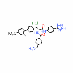 Cc1cc(C(=O)O)ccc1-c1ccc(C[C@H](NC(=O)C2CCC(CN)CC2)C(=O)Nc2ccc(-c3nn[nH]n3)cc2)cc1.Cl